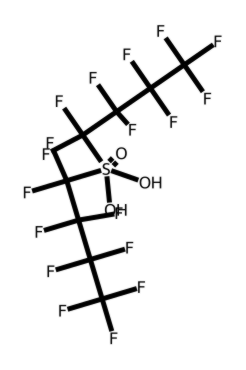 O=S(O)(O)(C(F)(F)C(F)(F)C(F)(F)C(F)(F)F)C(F)(F)C(F)(F)C(F)(F)C(F)(F)F